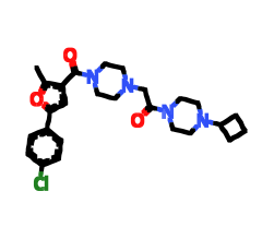 Cc1oc(-c2ccc(Cl)cc2)cc1C(=O)N1CCN(CC(=O)N2CCN(C3CCC3)CC2)CC1